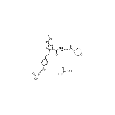 CC(=O)Nc1nc(CCc2ccc(NC=NC(=O)O)cc2)c(C(=O)NCCCC(=O)N2CCOCC2)s1.NC(=O)O